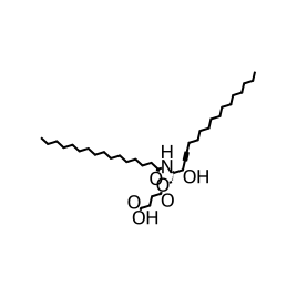 CCCCCCCCCCCCCC#C[C@@H](O)[C@H](COC(=O)CCC(=O)O)NC(=O)CCCCCCCCCCCCCCC